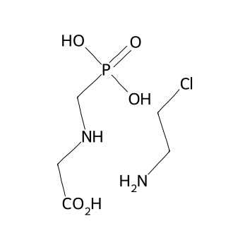 NCCCl.O=C(O)CNCP(=O)(O)O